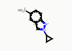 O=C(O)c1ccc2nn(C3CC3)cc2c1